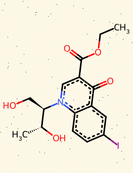 CCOC(=O)c1cn([C@H](CO)[C@@H](C)O)c2ccc(I)cc2c1=O